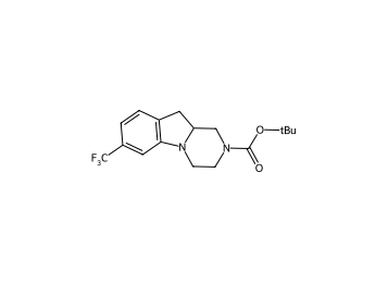 CC(C)(C)OC(=O)N1CCN2c3cc(C(F)(F)F)ccc3CC2C1